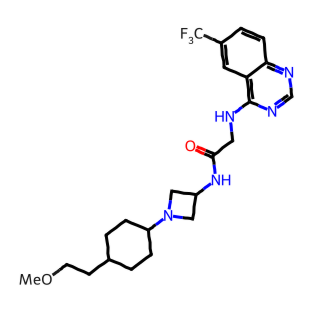 COCCC1CCC(N2CC(NC(=O)CNc3ncnc4ccc(C(F)(F)F)cc34)C2)CC1